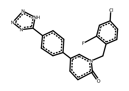 O=c1ccc(-c2ccc(-c3nnn[nH]3)cc2)cn1Cc1ccc(Cl)cc1F